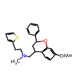 COc1ccc2c(c1)OC(c1ccccc1)CC2CN(C)CCc1cccs1